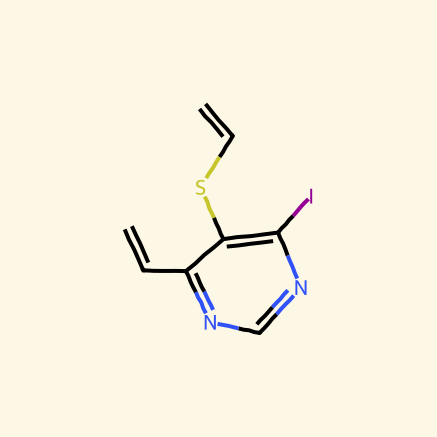 C=CSc1c(I)ncnc1C=C